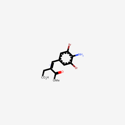 COC(=O)/C(=C\c1cc(Br)c(N)c(Br)c1)CC(=O)O